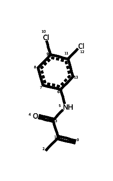 C=C(C)C(=O)Nc1ccc(Cl)c(Cl)c1